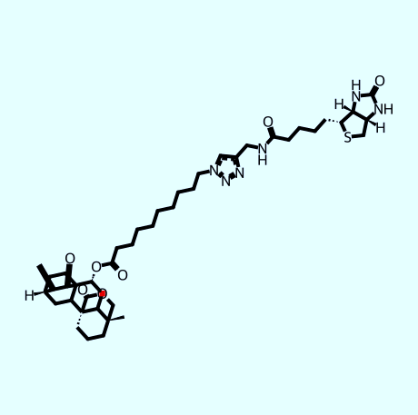 C=C1C(=O)C23CC[C@H]1CC2[C@@]12CCC[C@@](C)(COC1=O)C2C[C@H]3OC(=O)CCCCCCCCCn1cc(CNC(=O)CCCC[C@H]2SC[C@H]3NC(=O)N[C@H]32)nn1